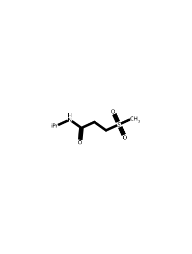 CC(C)NC(=O)CCS(C)(=O)=O